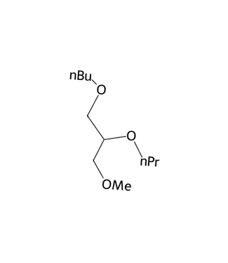 CCCCOCC(COC)OCCC